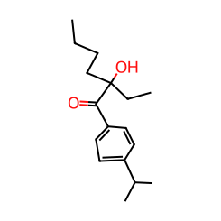 CCCCC(O)(CC)C(=O)c1ccc(C(C)C)cc1